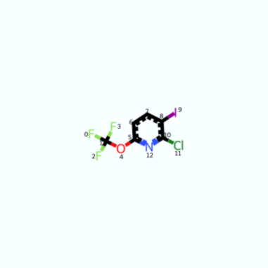 FC(F)(F)Oc1ccc(I)c(Cl)n1